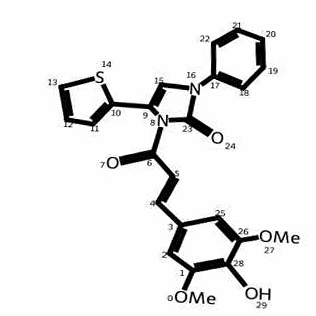 COc1cc(C=CC(=O)n2c(-c3cccs3)cn(-c3ccccc3)c2=O)cc(OC)c1O